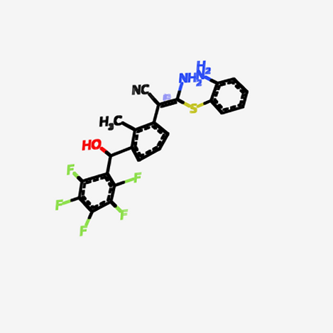 Cc1c(/C(C#N)=C(/N)Sc2ccccc2N)cccc1C(O)c1c(F)c(F)c(F)c(F)c1F